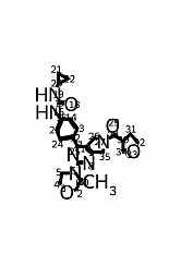 C[C@H]1COCCN1c1nc2c(c(-c3ccc(NC(=O)NC4CC4)cc3)n1)CN(C(=O)C1CCOC1)C2